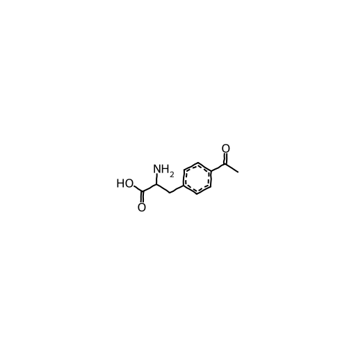 CC(=O)c1ccc(CC(N)C(=O)O)cc1